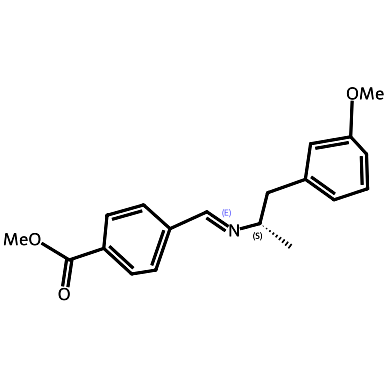 COC(=O)c1ccc(/C=N/[C@@H](C)Cc2cccc(OC)c2)cc1